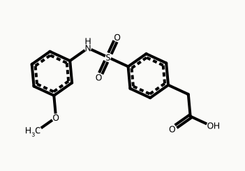 COc1cccc(NS(=O)(=O)c2ccc(CC(=O)O)cc2)c1